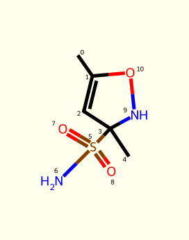 CC1=CC(C)(S(N)(=O)=O)NO1